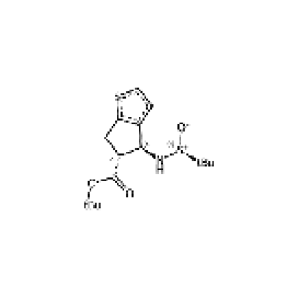 CC(C)(C)OC(=O)[C@@H]1Cc2sccc2[C@H]1N[S@@+]([O-])C(C)(C)C